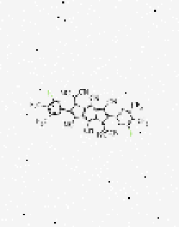 N#CC(C#N)=C1C(c2cc(F)c(C(F)(F)F)c(C(F)(F)F)c2)=C(C#N)c2c(C#N)c3c(c(C#N)c21)C(C#N)=C(c1cc(F)c(C(F)(F)F)c(C(F)(F)F)c1)C3=C(C#N)C#N